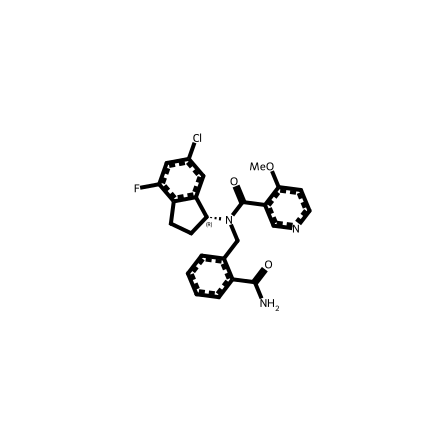 COc1ccncc1C(=O)N(Cc1ccccc1C(N)=O)[C@@H]1CCc2c(F)cc(Cl)cc21